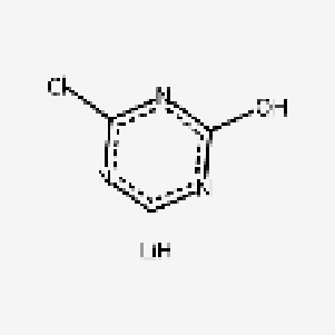 Oc1ncnc(Cl)n1.[LiH]